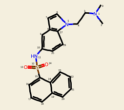 CN(C)CCn1ccc2cc(NS(=O)(=O)c3cccc4ccccc34)ccc21